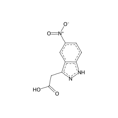 O=C(O)Cc1n[nH]c2ccc([N+](=O)[O-])cc12